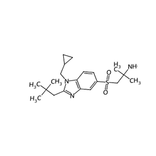 CC(C)(C)Cc1nc2cc(S(=O)(=O)CC(C)(C)[NH])ccc2n1CC1CC1